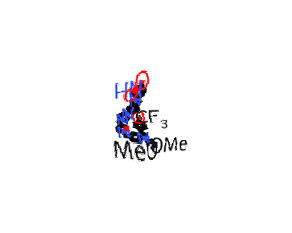 COC(CCn1cc(-c2ccc(OC(F)(F)F)cc2)c2cc(CN3CCC(CN4CCN(c5ccc6c(c5)CN(C5CCC(=O)NC5=O)C6)CC4)CC3)ccc21)OC